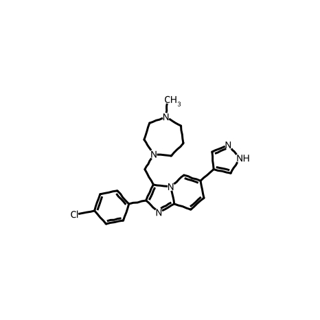 CN1CCCN(Cc2c(-c3ccc(Cl)cc3)nc3ccc(-c4cn[nH]c4)cn23)CC1